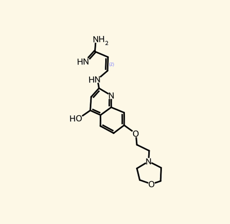 N=C(N)/C=C\Nc1cc(O)c2ccc(OCCN3CCOCC3)cc2n1